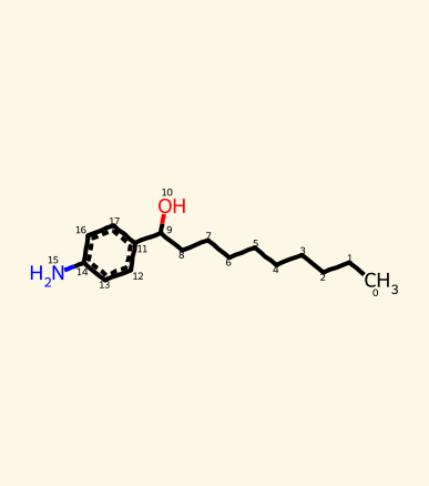 CCCCCCCCCC(O)c1ccc(N)cc1